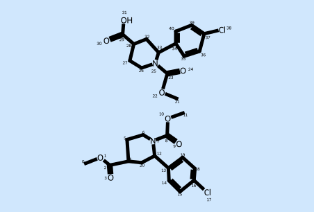 COC(=O)C1CCN(C(=O)OC)C(c2ccc(Cl)cc2)C1.COC(=O)N1CCC(C(=O)O)CC1c1ccc(Cl)cc1